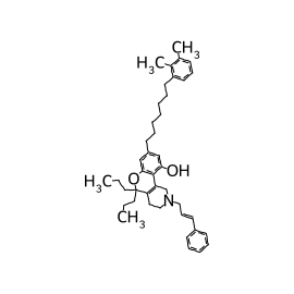 CCCC1(CCC)Oc2cc(CCCCCCCc3cccc(C)c3C)cc(O)c2C2=C1CCN(CC=Cc1ccccc1)C2